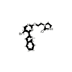 O=C1NCCN1CCOc1ncc(Br)c(-c2cc3ccccc3s2)n1